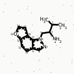 CC(C)C(N)Cn1ncc2ccc3occc3c21